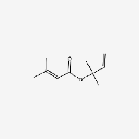 C=CC(C)(C)OC(=O)C=C(C)C